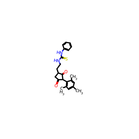 Cc1cc(C)c(C2C(=O)CC(CCNC(=S)Nc3ccccc3)C2=O)c(C)c1